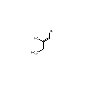 CCCC/C=C(\O)CC(=O)O